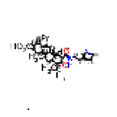 CCCC1C2=CCC3[C@@]4(C)CC(C(=O)NCCc5cccnc5)C(=O)C(C)(C)C4CC[C@@]3(C)[C@]2(C)CC[C@]1(CCC)C(=O)O